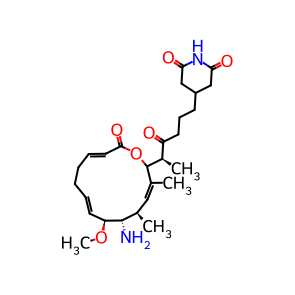 CO[C@H]1/C=C/CC/C=C/C(=O)OC([C@H](C)C(=O)CCCC2CC(=O)NC(=O)C2)/C(C)=C\[C@@H](C)[C@@H]1N